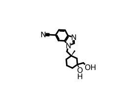 C[C@]1(Cn2cnc3ccc(C#N)cc32)CCC[C@@](O)(CO)C1